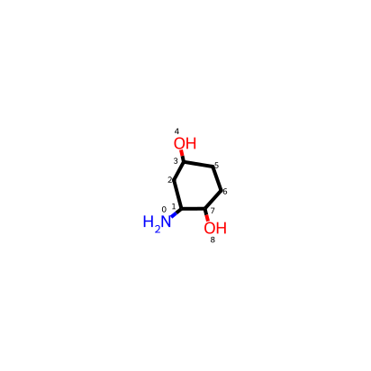 NC1CC(O)CCC1O